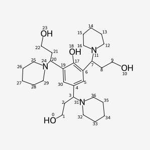 OCCC(c1cc(C(CCO)N2CCCCC2)c(O)c(C(CCO)N2CCCCC2)c1)N1CCCCC1